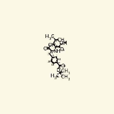 CC(C)C[C@H](N[C@@H](Cc1ccc(C(=O)OC(C)(C)C)cc1)C(=O)O)C(=O)O